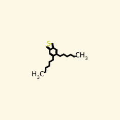 CCCCCCc1cc2cscc2cc1CCCCCC